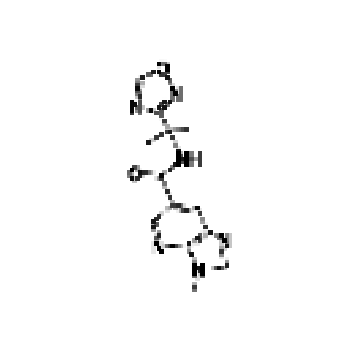 Cn1cnc2cc(C(=O)NC(C)(C)c3ncon3)cnc21